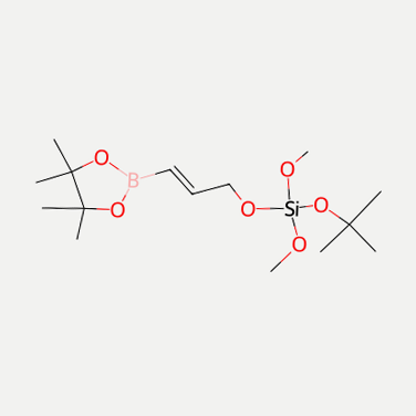 CO[Si](OC)(OCC=CB1OC(C)(C)C(C)(C)O1)OC(C)(C)C